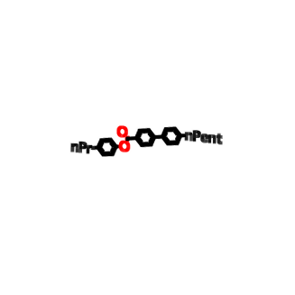 CCCCCc1ccc(-c2ccc(C(=O)Oc3ccc(CCC)cc3)cc2)cc1